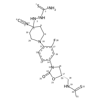 [C-]#[N+]C1(NNC(N)=S)CCN(c2ccc(N3C[C@H](CNC(C)=S)OC3=O)cc2F)CC1